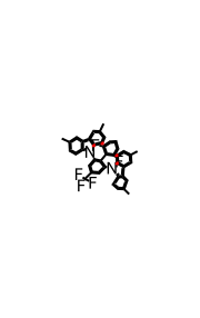 Cc1ccc2c(c1)c1cc(C)ccc1n2-c1cc(C(F)(F)F)cc(-n2c3ccc(C)cc3c3cc(C)ccc32)c1-c1c(F)cccc1F